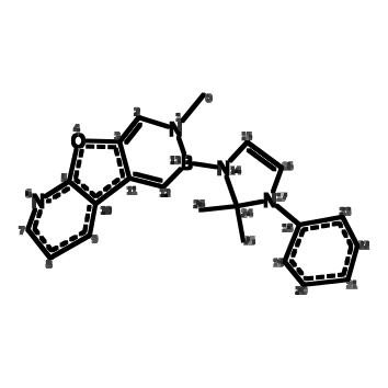 CN1C=c2oc3ncccc3c2=CB1N1C=CN(c2ccccc2)C1(C)C